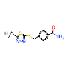 Cc1nnc(SCc2ccc(C(N)=O)cc2)s1